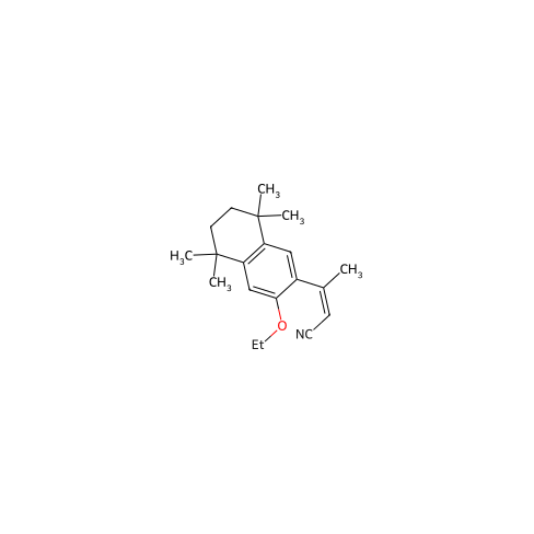 CCOc1cc2c(cc1/C(C)=C\C#N)C(C)(C)CCC2(C)C